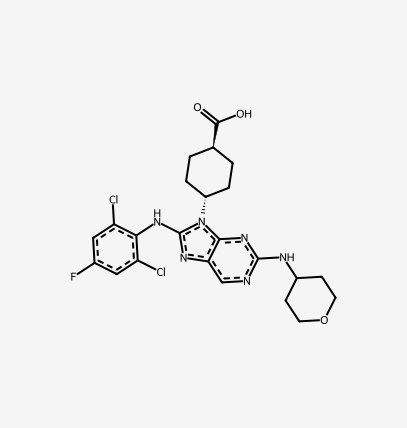 O=C(O)[C@H]1CC[C@H](n2c(Nc3c(Cl)cc(F)cc3Cl)nc3cnc(NC4CCOCC4)nc32)CC1